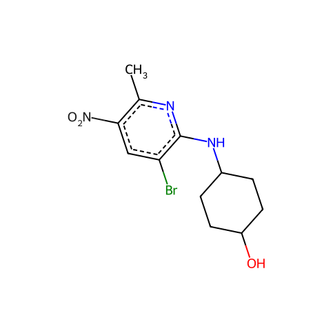 Cc1nc(NC2CCC(O)CC2)c(Br)cc1[N+](=O)[O-]